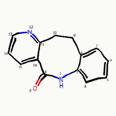 O=C1Nc2ccccc2CCc2ncccc21